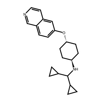 c1cc2cc(O[C@H]3CC[C@H](NC(C4CC4)C4CC4)CC3)ccc2cn1